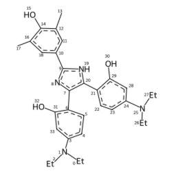 CCN(CC)c1ccc(-c2nc(-c3cc(C)c(O)c(C)c3)[nH]c2-c2ccc(N(CC)CC)cc2O)c(O)c1